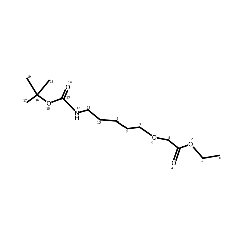 CCOC(=O)COCCCCCNC(=O)OC(C)(C)C